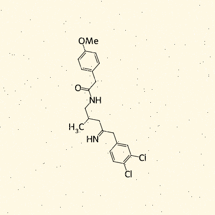 COc1ccc(CC(=O)NCC(C)CC(=N)Cc2ccc(Cl)c(Cl)c2)cc1